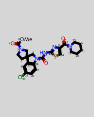 COC(=O)N1CCC2(C1)CN(C(=O)Nc1nc(C(=O)N3CCCCC3)cs1)c1ccc(Cl)cc12